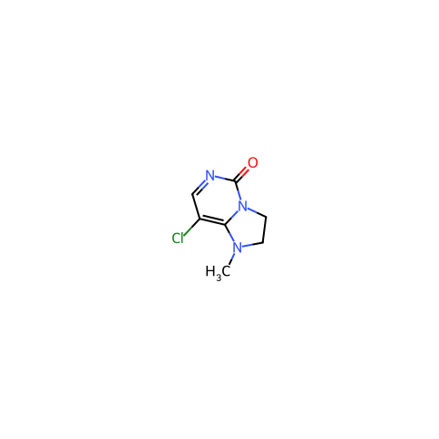 CN1CCn2c1c(Cl)cnc2=O